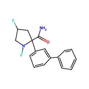 NC(=O)C1(c2cccc(-c3ccccc3)c2)CC(F)CN1F